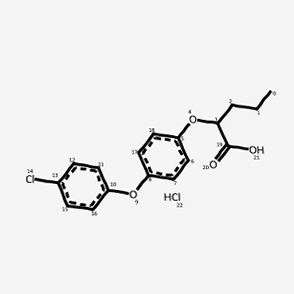 CCCC(Oc1ccc(Oc2ccc(Cl)cc2)cc1)C(=O)O.Cl